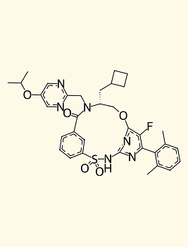 Cc1cccc(C)c1-c1nc2nc(c1F)OC[C@@H](CC1CCC1)N(Cc1ncc(OC(C)C)cn1)C(=O)c1cccc(c1)S(=O)(=O)N2